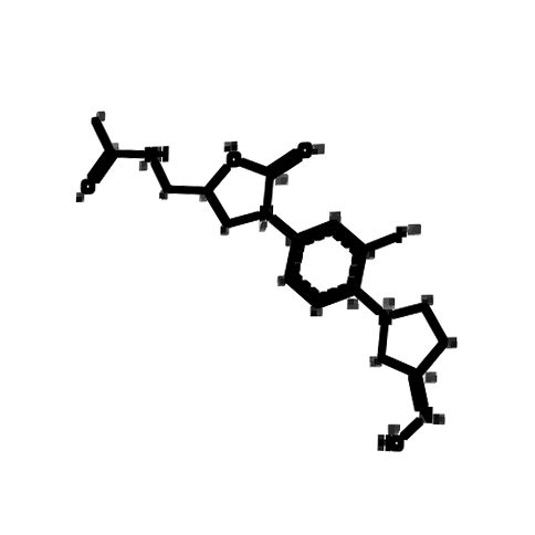 CC(=O)NCC1CN(c2ccc(N3CCC(=NO)C3)c(F)c2)C(=O)O1